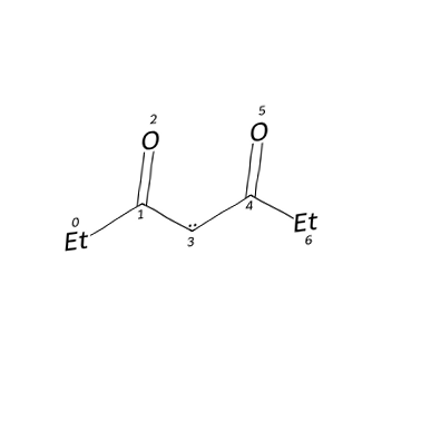 CCC(=O)[C]C(=O)CC